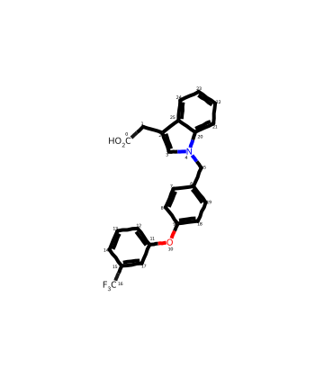 O=C(O)Cc1cn(Cc2ccc(Oc3cccc(C(F)(F)F)c3)cc2)c2ccccc12